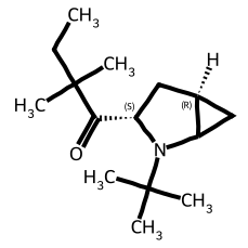 CCC(C)(C)C(=O)[C@@H]1C[C@H]2CC2N1C(C)(C)C